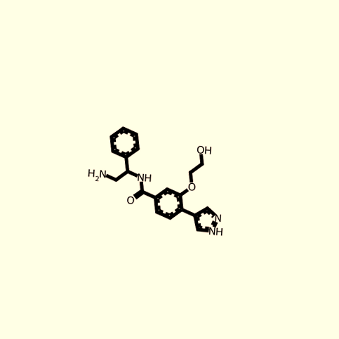 NCC(NC(=O)c1ccc(-c2cn[nH]c2)c(OCCO)c1)c1ccccc1